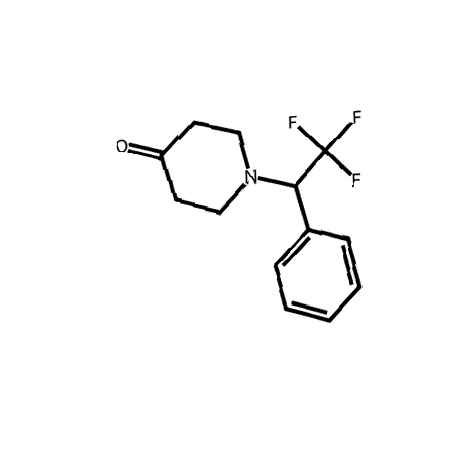 O=C1CCN(C(c2ccccc2)C(F)(F)F)CC1